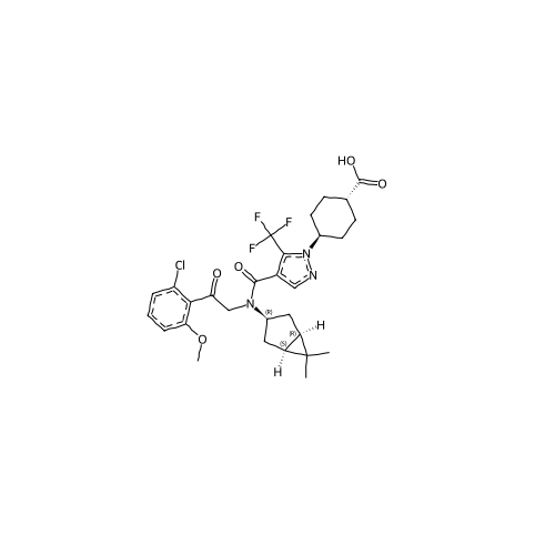 COc1cccc(Cl)c1C(=O)CN(C(=O)c1cnn([C@H]2CC[C@H](C(=O)O)CC2)c1C(F)(F)F)[C@H]1C[C@@H]2[C@H](C1)C2(C)C